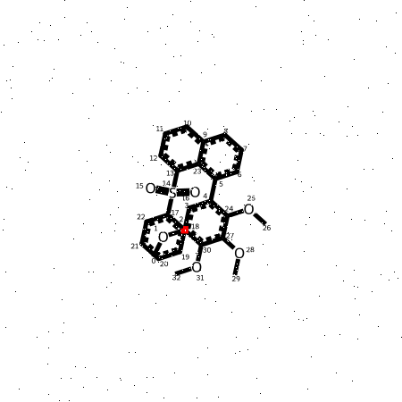 COc1cc(-c2cccc3cccc(S(=O)(=O)c4ccccc4)c23)c(OC)c(OC)c1OC